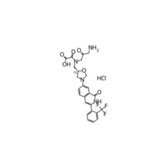 Cl.NCC(=O)CN(C[C@@H]1CN(c2ccc3cc(-c4ccccc4C(F)(F)F)[nH]c(=O)c3c2)CO1)C(=O)C(=O)O